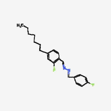 CCCCCCCc1ccc(C=NN=Cc2ccc(F)cc2)c(F)c1